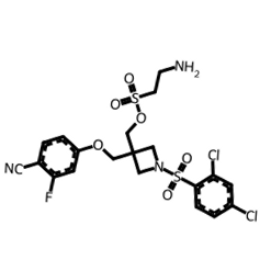 N#Cc1ccc(OCC2(COS(=O)(=O)CCN)CN(S(=O)(=O)c3ccc(Cl)cc3Cl)C2)cc1F